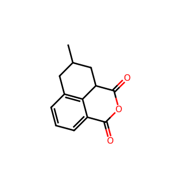 CC1Cc2cccc3c2C(C1)C(=O)OC3=O